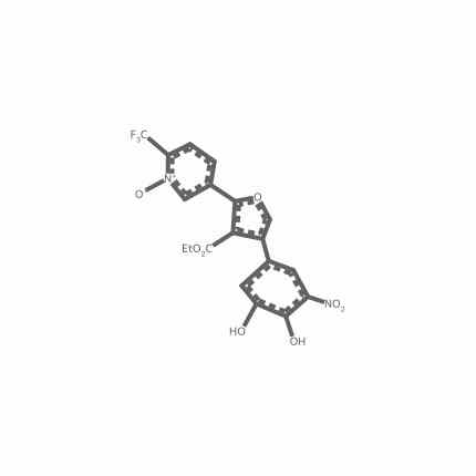 CCOC(=O)c1c(-c2cc(O)c(O)c([N+](=O)[O-])c2)coc1-c1ccc(C(F)(F)F)[n+]([O-])c1